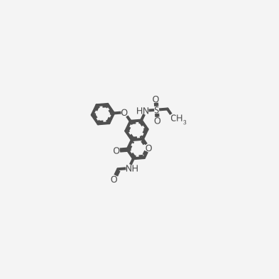 CCS(=O)(=O)Nc1cc2occ(NC=O)c(=O)c2cc1Oc1ccccc1